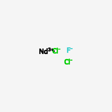 [Cl-].[Cl-].[F-].[Nd+3]